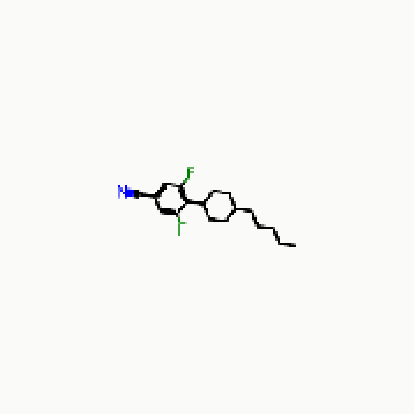 CCCCCC1CCC(c2c(F)cc(C#N)cc2F)CC1